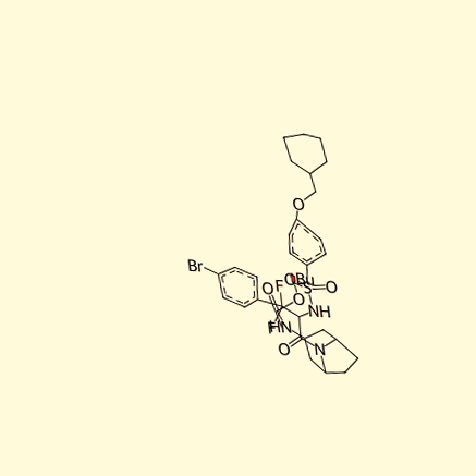 CC(C)(C)OC(=O)NC1CC2CCC(C1)N2C(=O)C(NS(=O)(=O)c1ccc(OCC2CCCCC2)cc1)C(F)(F)c1ccc(Br)cc1